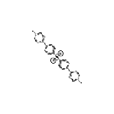 Cc1ccc(-c2ccc(S(=O)(=O)c3ccc(-c4ccc(C)cc4)cc3)cc2)cc1